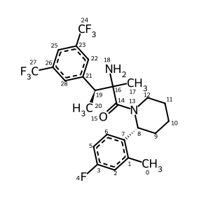 Cc1cc(F)ccc1[C@H]1CCCCN1C(=O)C(C)(N)[C@@H](C)c1cc(C(F)(F)F)cc(C(F)(F)F)c1